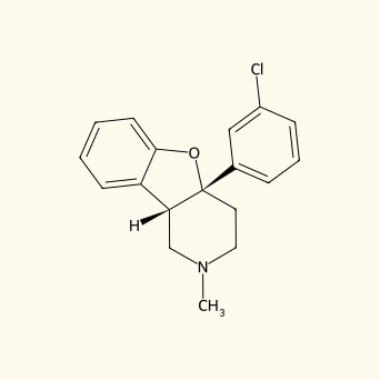 CN1CC[C@@]2(c3cccc(Cl)c3)Oc3ccccc3[C@H]2C1